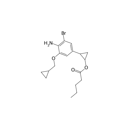 CCCCC(=O)OC1CC1c1cc(Br)c(N)c(OCC2CC2)c1